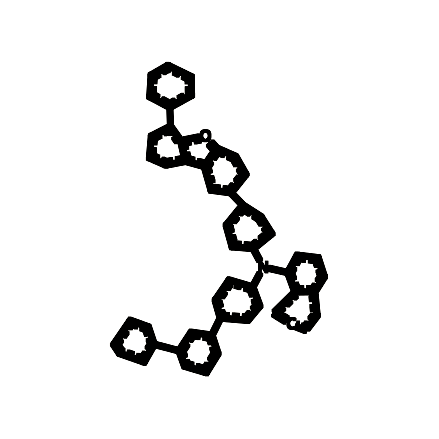 c1ccc(-c2cccc(-c3ccc(N(c4ccc(-c5ccc6oc7c(-c8ccccc8)cccc7c6c5)cc4)c4cccc5ccccc45)cc3)c2)cc1